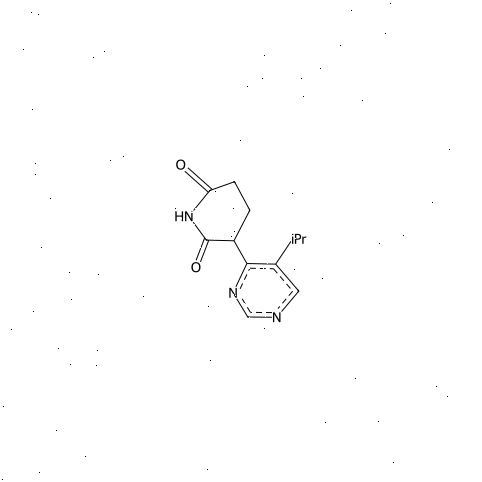 CC(C)c1cncnc1C1CCC(=O)NC1=O